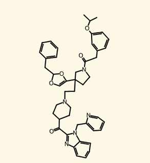 CC(C)Oc1cccc(CC(=O)N2CCC(CCN3CCC(C(=O)c4nc5ccccc5n4Cc4ccccn4)CC3)(C3=COC(Cc4ccccc4)O3)C2)c1